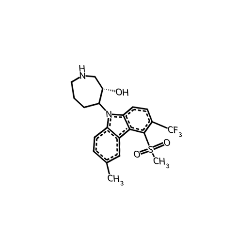 Cc1ccc2c(c1)c1c(S(C)(=O)=O)c(C(F)(F)F)ccc1n2C1CCCNC[C@@H]1O